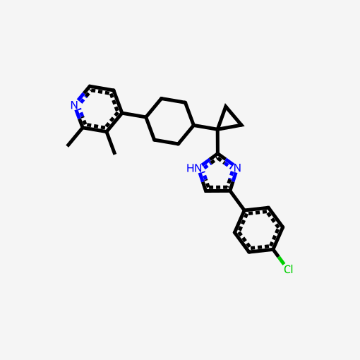 Cc1nccc(C2CCC(C3(c4nc(-c5ccc(Cl)cc5)c[nH]4)CC3)CC2)c1C